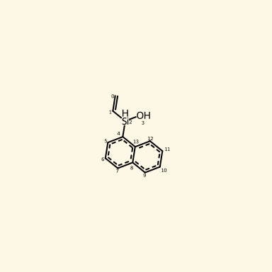 C=C[SiH](O)c1cccc2ccccc12